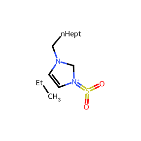 CCC.CCCCCCCCN1C=C[N+](=S(=O)=O)C1